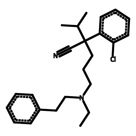 CCN(CCCC(C#N)(c1ccccc1Cl)C(C)C)CCc1ccccc1